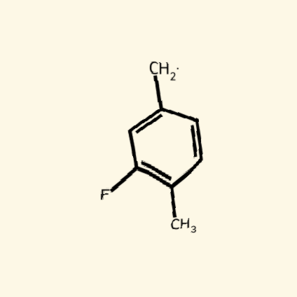 [CH2]c1ccc(C)c(F)c1